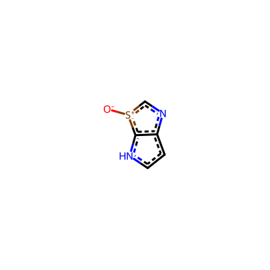 [O-][s+]1cnc2cc[nH]c21